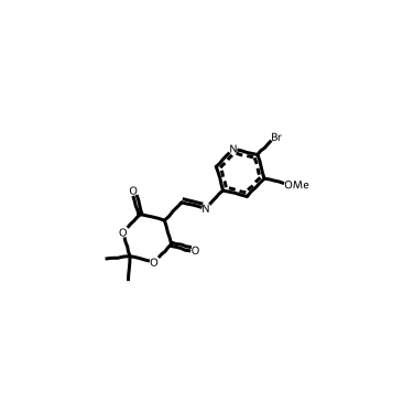 COc1cc(N=CC2C(=O)OC(C)(C)OC2=O)cnc1Br